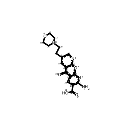 Nc1nc2oc3ncc(CCN4CCOCC4)cc3c(=O)c2cc1C(=O)O